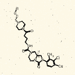 CCOOSN1CCN(C(=O)CCCNC(=O)N2CCN3C(=O)N(c4ccc(C#N)c(Cl)c4C)C[C@@H]3C2)CC1